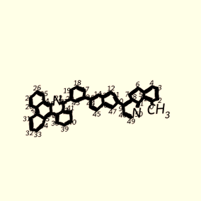 Cc1cccc2ccc3c(-c4ccc5cc(-c6cccc(-c7nc8c9ccccc9c9ccccc9c8c8ccccc78)c6)ccc5c4)ccnc3c12